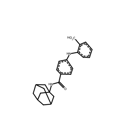 O=C(NC12CC3CC(CC(C3)C1)C2)c1ccc(Nc2ccccc2C(=O)O)cc1